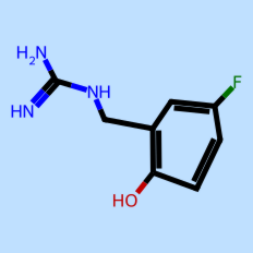 N=C(N)NCc1cc(F)ccc1O